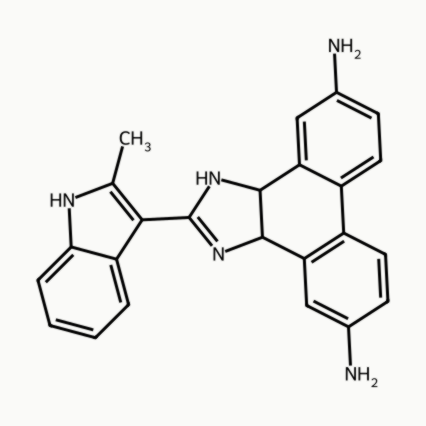 Cc1[nH]c2ccccc2c1C1=NC2c3cc(N)ccc3-c3ccc(N)cc3C2N1